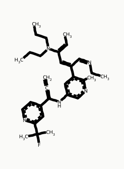 C=C=C(Nc1cnc(C)c(C(/C=N\CC)=C/C(=C/C)N(CCC)CCC)c1)c1ccnc(C(C)(C)F)c1